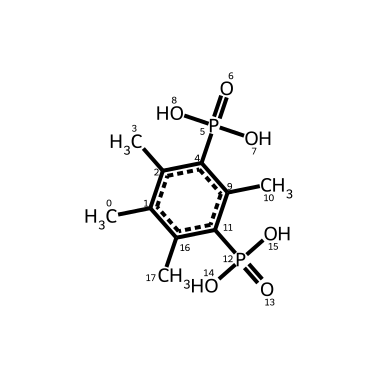 Cc1c(C)c(P(=O)(O)O)c(C)c(P(=O)(O)O)c1C